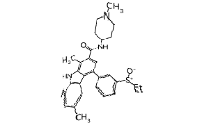 CC[S+]([O-])c1cccc(-c2cc(C(=O)NC3CCN(C)CC3)c(C)c3[nH]c4ncc(C)cc4c23)c1